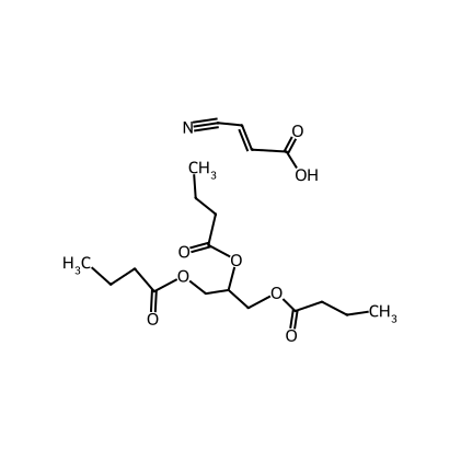 CCCC(=O)OCC(COC(=O)CCC)OC(=O)CCC.N#CC=CC(=O)O